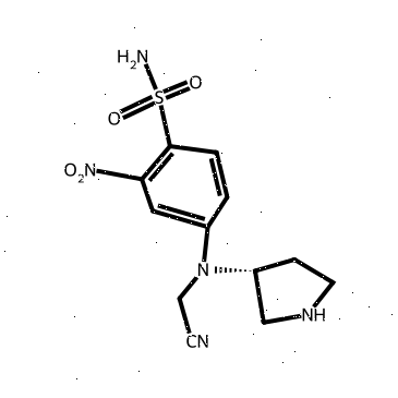 N#CCN(c1ccc(S(N)(=O)=O)c([N+](=O)[O-])c1)[C@@H]1CCNC1